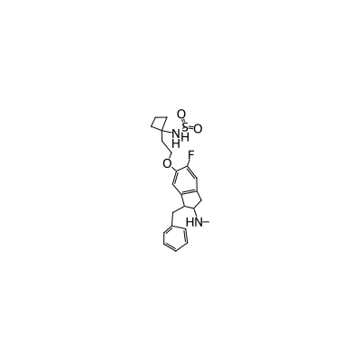 CNC1Cc2cc(F)c(OCCC3(N[SH](=O)=O)CCC3)cc2C1Cc1ccccc1